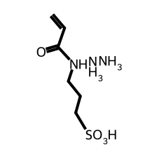 C=CC(=O)NCCCS(=O)(=O)O.N.N